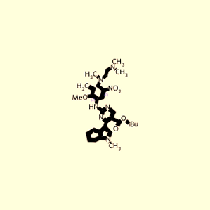 C=C/C(OC)=C(\C=C(/CN(C)CCN(C)C)[N+](=O)[O-])Nc1ncc(C(=O)OC(C)CC)c(-c2cn(C)c3ccccc23)n1